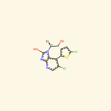 CC[C@@H](CO)n1c(O)nc2ncc(Cl)c(-c3ccc(Cl)s3)c21